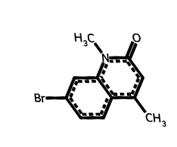 Cc1cc(=O)n(C)c2cc(Br)ccc12